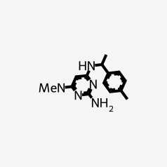 CNc1cc(NC(C)c2ccc(C)cc2)nc(N)n1